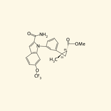 COC(=O)[C@@H]1C[C@]1(C)c1cccc(-n2c(C(N)=O)cc3ccc(OC(F)(F)F)cc32)c1